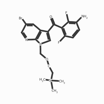 C[Si](C)(C)CCOCn1cc(C(=O)c2c(F)ccc(N)c2F)c2cc(Br)cnc21